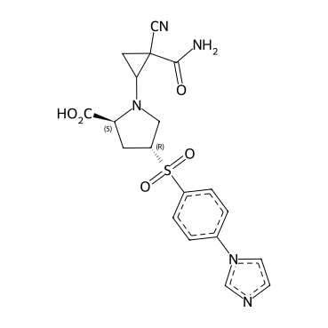 N#CC1(C(N)=O)CC1N1C[C@H](S(=O)(=O)c2ccc(-n3ccnc3)cc2)C[C@H]1C(=O)O